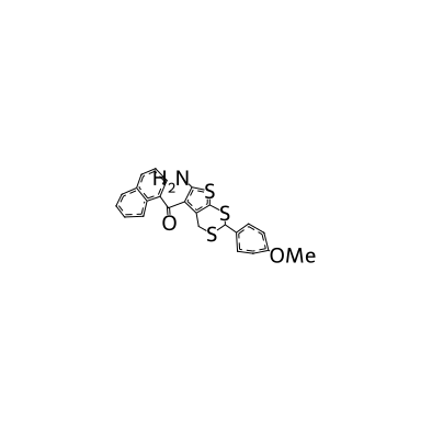 COc1ccc(C2SCc3c(sc(N)c3C(=O)c3cccc4ccccc34)S2)cc1